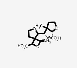 C=C1OC(C(=O)O)C12CCOC2[C@@H](C(C)C)C1(C)CCO[C@@H]1C(=O)O